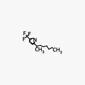 CCCCCCC(C)c1ccc(C(F)(F)F)cn1